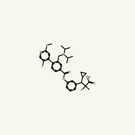 COc1cc(-c2ccc(C(=O)Oc3cccc(C(C4CC4)C(C)(F)C(=O)O)c3)cc2CN(C(C)C)C(C)C)c(F)cn1